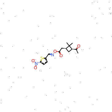 CC(=O)[C@H]1C[C@@H](CC(=O)ON=Cc2ccc([N+](=O)[O-])s2)C1(C)C